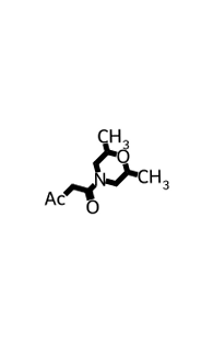 CC(=O)CC(=O)N1CC(C)OC(C)C1